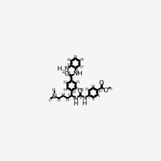 COC(=O)c1ccc(NC(=O)NC(CCCN(C)C)c2ccc(C(=O)Nc3ccccc3N)cc2)cc1